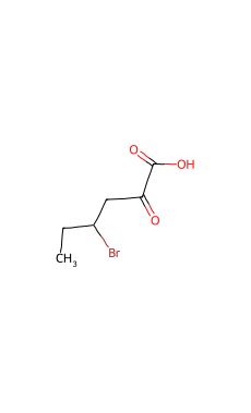 CCC(Br)CC(=O)C(=O)O